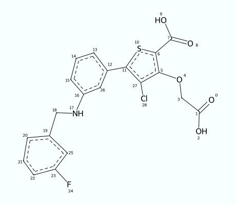 O=C(O)COc1c(C(=O)O)sc(-c2cccc(NCc3cccc(F)c3)c2)c1Cl